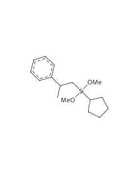 CO[Si](CC(C)c1ccccc1)(OC)C1CCCC1